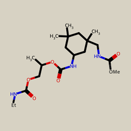 CCNC(=O)OCC(C)OC(=O)NC1CC(C)(C)CC(C)(CNC(=O)OC)C1